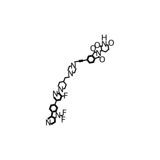 O=C1CCC(N2C(=O)c3ccc(C#CCN4CCN(CCC5CCN(c6ncc(-c7ccc8c9cnccc9n(C(F)F)c8c7)cc6F)CC5)CC4)cc3C2=O)C(=O)N1